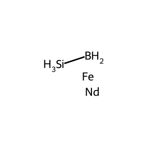 B[SiH3].[Fe].[Nd]